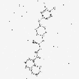 O=C(NC[C@@H](O)CN1CCC(Oc2ccc(Cl)c(Cl)c2)CC1)c1cccc2cccnc12